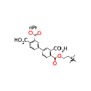 CCCOC(=O)c1cc(-c2ccc(C(=O)OCC[Si](C)(C)C)c(C(=O)O)c2)ccc1C(=O)O